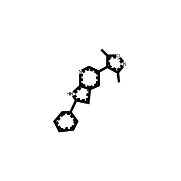 Cc1noc(C)c1-c1cnc2[nH]c(-c3ccccc3)cc2c1